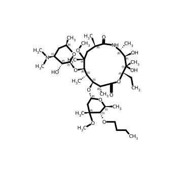 CCCCO[C@H]1[C@H](C)O[C@@H](O[C@H]2[C@H](C)[C@@H](O[C@@H]3O[C@H](C)C[C@H](N(C)C)[C@H]3O)[C@](C)(OC)C[C@@H](C)C(=O)N[C@H](C)[C@@H](O)[C@](C)(O)[C@@H](CC)OC(=O)[C@@H]2C)C[C@@]1(C)OC